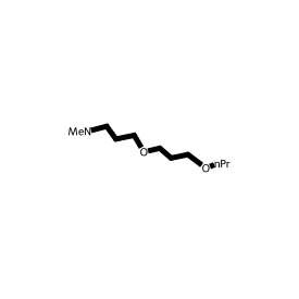 CCCOCCCOCCCNC